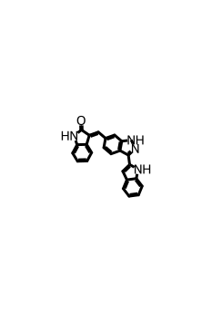 O=C1Nc2ccccc2/C1=C\c1ccc2c(-c3cc4ccccc4[nH]3)n[nH]c2c1